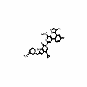 COc1cc(-c2ccc(F)cc2-c2nncn2C)cc(-n2cc(C3CC3)c3cc(CN4CCC[C@H](C)C4)[nH]c3c2=O)n1